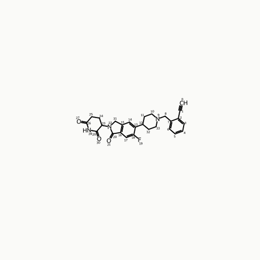 C#Cc1ccccc1CN1CCC(c2cc3c(cc2F)C(=O)N(C2CCC(=O)NC2=O)C3)CC1